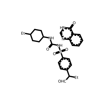 CCC1CCC(NC(=O)NS(=O)(=O)c2ccc(C(C=O)CC)cc2)CC1.O=c1[nH]cnc2ccccc12